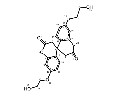 O=C1CC2(CC(=O)Oc3cc(OCCO)ccc32)c2ccc(OCCO)cc2O1